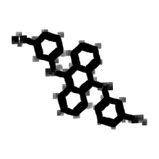 Nc1cccc(Nc2c3ccccc3c(Nc3cccc(N)c3)c3ccccc23)c1